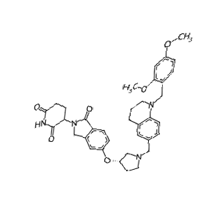 COc1ccc(CN2CCCc3cc(CN4CC[C@H](Oc5ccc6c(c5)CN(C5CCC(=O)NC5=O)C6=O)C4)ccc32)c(OC)c1